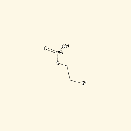 CC(C)CCS[PH](=O)O